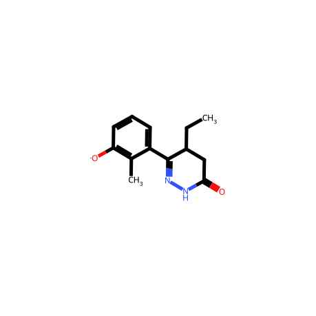 CCC1CC(=O)NN=C1c1cccc([O])c1C